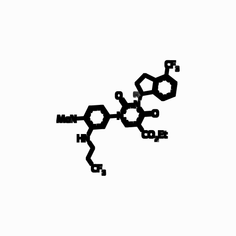 CCOC(=O)c1cn(-c2ccc(NC)c(NCCC(F)(F)F)c2)c(=O)n([C@@H]2CCc3c2cccc3C(F)(F)F)c1=O